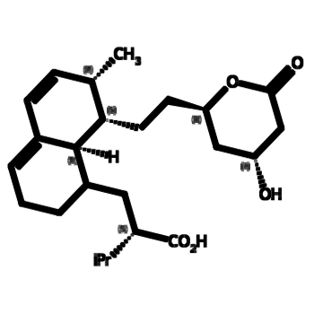 CC(C)[C@H](CC1CCC=C2C=C[C@H](C)[C@H](CC[C@@H]3C[C@@H](O)CC(=O)O3)[C@H]21)C(=O)O